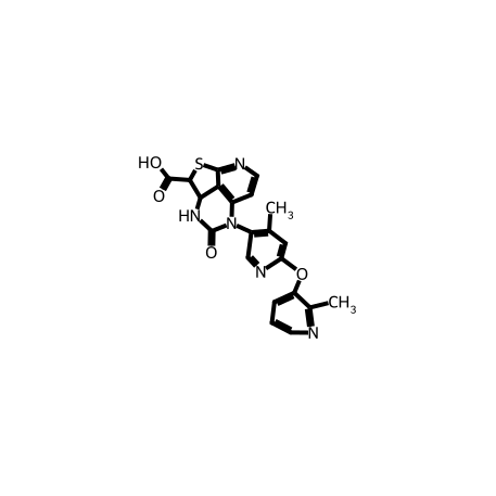 Cc1cc(Oc2cccnc2C)ncc1N1C(=O)NC2c3c1ccnc3SC2C(=O)O